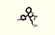 CN(C)c1nc2ccccc2c(-c2ccc(F)cc2)c1C=CCO